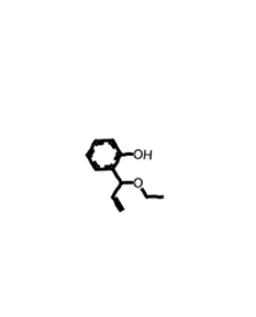 C=CC(OCC)c1ccccc1O